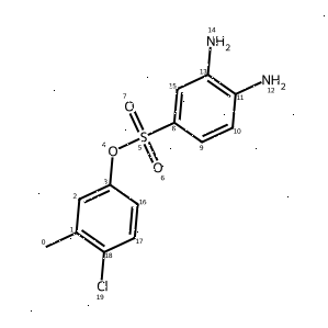 Cc1cc(OS(=O)(=O)c2ccc(N)c(N)c2)ccc1Cl